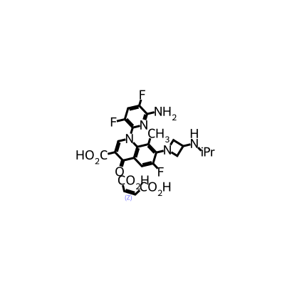 Cc1c(N2CC(NC(C)C)C2)c(F)cc2c(=O)c(C(=O)O)cn(-c3nc(N)c(F)cc3F)c12.O=C(O)/C=C\C(=O)O